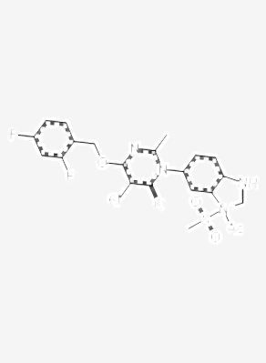 CC(=O)[N+]1(S(C)(=O)=O)CNc2ccc(-n3c(C)nc(OCc4ccc(F)cc4F)c(Cl)c3=O)cc21